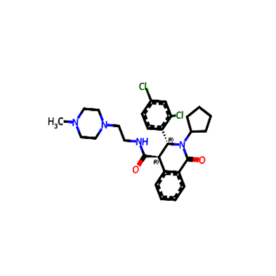 CN1CCN(CCNC(=O)[C@@H]2c3ccccc3C(=O)N(C3CCCC3)[C@H]2c2ccc(Cl)cc2Cl)CC1